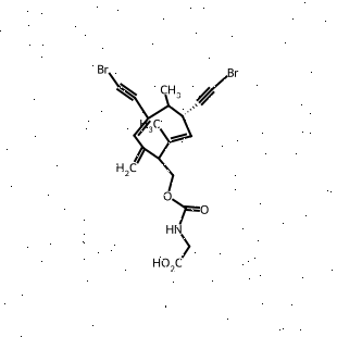 C=C1/C=C(/C#CBr)C(C)[C@H](C#CBr)/C=C(\C)C1COC(=O)NCC(=O)O